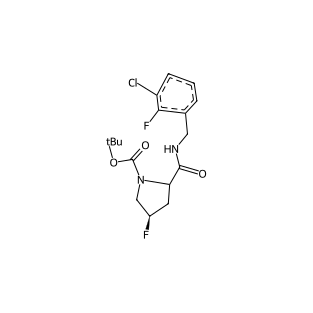 CC(C)(C)OC(=O)N1C[C@H](F)CC1C(=O)NCc1cccc(Cl)c1F